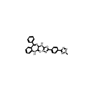 Cn1nnc(-c2ccc(-c3nnc(NC4N=C(c5ccccc5)c5ccccc5NC4=O)o3)cc2)n1